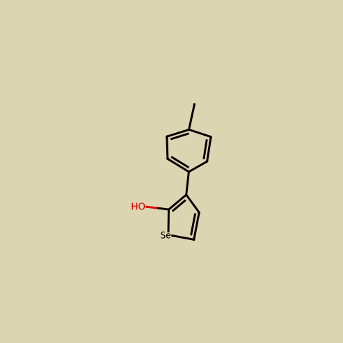 Cc1ccc(-c2cc[se]c2O)cc1